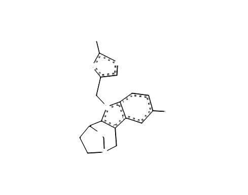 Cc1nc(Cn2c3c(c4cc(F)ccc42)CN2CCC3CC2)cs1